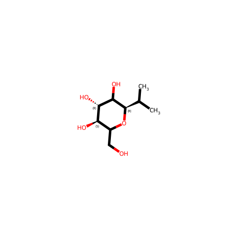 CC(C)[C@H]1OC(CO)[C@@H](O)[C@H](O)C1O